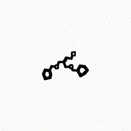 ClCC=C(COCc1ccccc1)COCc1ccccc1